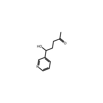 CC(=O)CCC(O)c1cccnc1